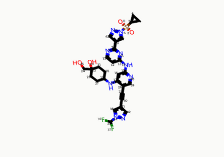 O=S(=O)(C1CC1)n1cc(-c2nccc(Nc3cc(NC4CCC(O)(CO)CC4)c(C#Cc4cnn(C(F)F)c4)cn3)n2)cn1